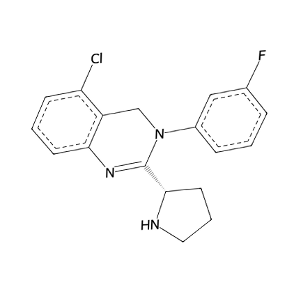 Fc1cccc(N2Cc3c(Cl)cccc3N=C2[C@@H]2CCCN2)c1